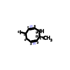 C[C@H]1/C=C\CC(I)/C=C\N1